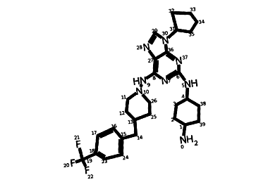 NC1CCC(Nc2nc(NN3CCC(Cc4ccc(C(F)(F)F)cc4)CC3)c3ncn(C4CCCC4)c3n2)CC1